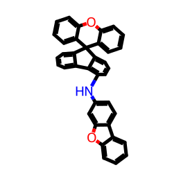 c1ccc2c(c1)Oc1ccccc1C21c2ccccc2-c2c(Nc3ccc4c(c3)oc3ccccc34)cccc21